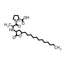 CCCCCCCCCCCCC1CC(N[C@@H](C)C(=O)N2CCC[C@H]2C(=O)O)C(=O)O1